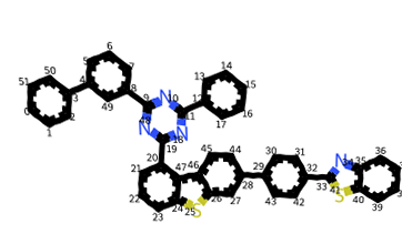 c1ccc(-c2cccc(-c3nc(-c4ccccc4)nc(-c4cccc5sc6cc(-c7ccc(-c8nc9ccccc9s8)cc7)ccc6c45)n3)c2)cc1